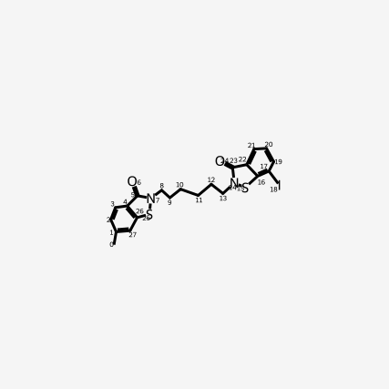 Cc1ccc2c(=O)n(CCCCCCn3sc4c(I)cccc4c3=O)sc2c1